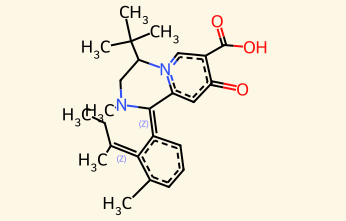 CC/C(C)=c1/c(C)ccc/c1=C1\c2cc(=O)c(C(=O)O)cn2C(C(C)(C)C)CN1C